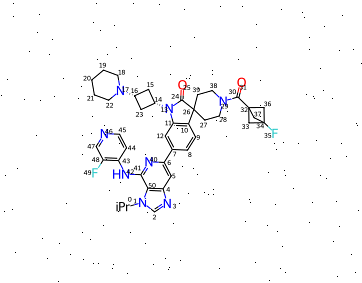 CC(C)n1cnc2cc(-c3ccc4c(c3)N([C@H]3C[C@@H](N5CCCCC5)C3)C(=O)C43CCN(C(=O)C45CC(F)(C4)C5)CC3)nc(Nc3ccncc3F)c21